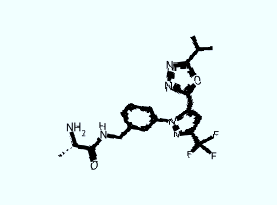 CC(C)c1nnc(-c2cc(C(F)(F)F)nn2-c2cccc(CNC(=O)[C@H](C)N)c2)o1